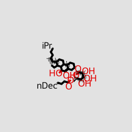 CCCCCCCCCCCCCC(=O)OC[C@H]1O[C@H](OC2CC[C@@]3(C)C(=C(O)C(O)C4C3CC[C@@]3(C)C4CC[C@@H]3[C@H](C)CCCC(C)C)C2)[C@H](O)[C@@H](O)[C@H]1O